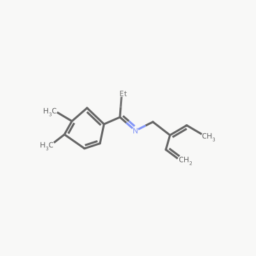 C=C/C(=C\C)C/N=C(\CC)c1ccc(C)c(C)c1